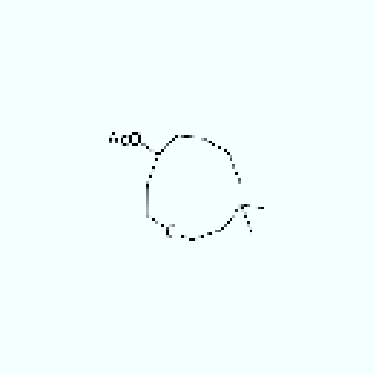 CC(=O)OC1CCCCCC(C)(C)CCCC1